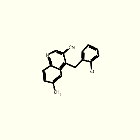 CCc1ccccc1Cc1c(C#N)cnc2ccc(C)cc12